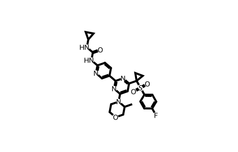 CC1COCCN1c1cc(C2(S(=O)(=O)c3ccc(F)cc3)CC2)nc(-c2ccc(NC(=O)NC3CC3)nc2)n1